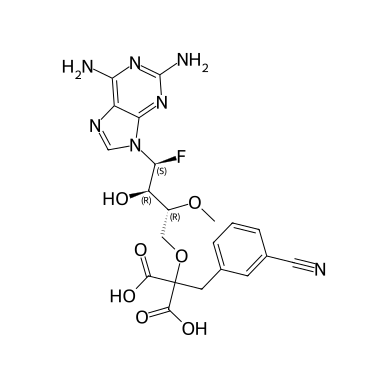 CO[C@H](COC(Cc1cccc(C#N)c1)(C(=O)O)C(=O)O)[C@@H](O)[C@H](F)n1cnc2c(N)nc(N)nc21